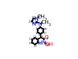 CN(c1ccc(C(C(=O)NO)c2ccccc2)cc1)c1nccn1C